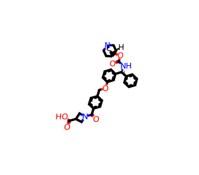 O=C(N[C@@H](c1ccccc1)c1cccc(OCc2ccc(C(=O)N3CC(C(=O)O)C3)cc2)c1)O[C@H]1CN2CCC1CC2